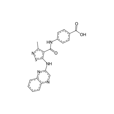 Cc1nsc(Nc2cnc3ccccc3n2)c1C(=O)Nc1ccc(C(=O)O)cc1